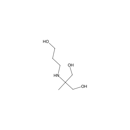 CC(CO)(CO)NCCCO